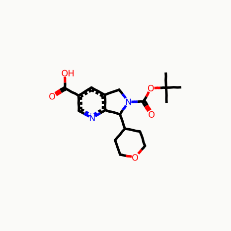 CC(C)(C)OC(=O)N1Cc2cc(C(=O)O)cnc2C1C1CCOCC1